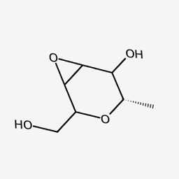 C[C@@H]1OC(CO)C2OC2C1O